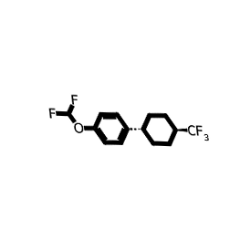 FC(F)Oc1ccc([C@H]2CC[C@H](C(F)(F)F)CC2)cc1